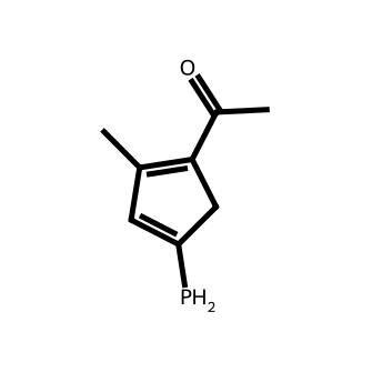 CC(=O)C1=C(C)C=C(P)C1